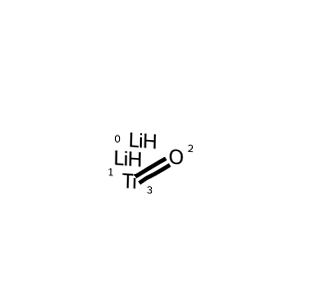 [LiH].[LiH].[O]=[Ti]